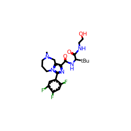 CN1CCCn2c(-c3cc(F)c(F)cc3F)nc(C(=O)NC(C(=O)NCCO)C(C)(C)C)c2C1